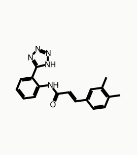 Cc1ccc(/C=C/C(=O)Nc2ccccc2-c2nnn[nH]2)cc1C